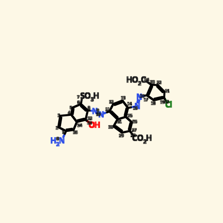 Nc1ccc2cc(S(=O)(=O)O)c(N=Nc3ccc(N=Nc4cc(Cl)ccc4C(=O)O)c4cc(C(=O)O)ccc34)c(O)c2c1